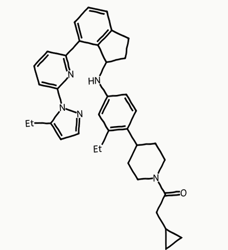 CCc1cc(NC2CCc3cccc(-c4cccc(-n5nccc5CC)n4)c32)ccc1C1CCN(C(=O)CC2CC2)CC1